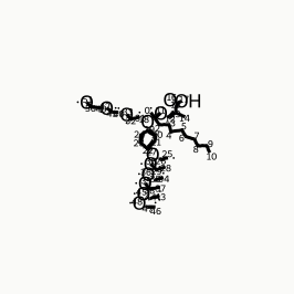 [CH2]C(CCCCCCCCC)(OC=C(C)C(=O)O)Oc1ccccc1.[CH2]C[O].[CH2]C[O].[CH2]C[O].[CH2]C[O].[CH2]C[O].[CH2]C[O].[CH2]C[O].[CH2]C[O].[CH2]C[O]